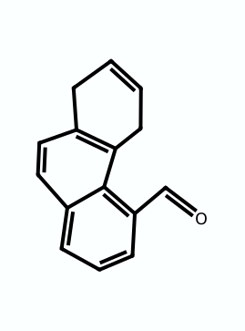 O=Cc1cccc2ccc3c(c12)CC=CC3